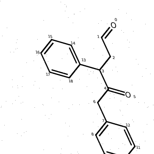 O=CCC(C(=O)Cc1ccccc1)c1ccccc1